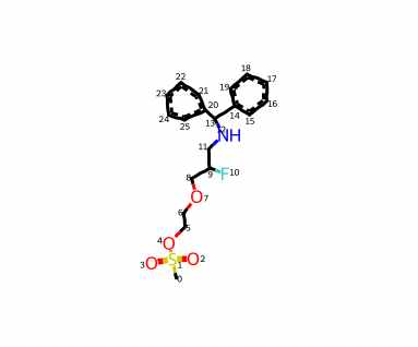 CS(=O)(=O)OCCOCC(F)CNC(c1ccccc1)c1ccccc1